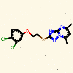 Cc1cc(C)n2nc(SCCOc3ccc(Cl)c(Cl)c3)nc2n1